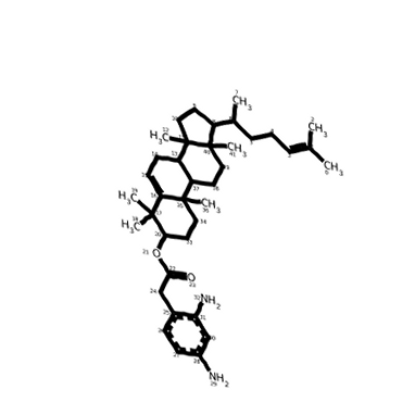 CC(C)=CCCC(C)C1CCC2(C)C3CC=C4C(C)(C)C(OC(=O)Cc5ccc(N)cc5N)CCC4(C)C3CCC12C